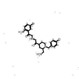 NCC1CC(C(=O)CNCC(=O)c2cc(Br)ccc2N)CCN1Cc1ccc(Cl)cc1